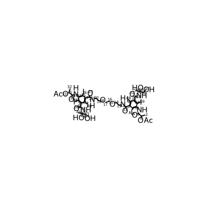 CC(=O)OC(C)C(=O)Nc1c(I)c(C(=O)NCCOCCOCCNC(=O)c2c(I)c(NC(=O)C(C)OC(C)=O)c(I)c(C(=O)NC(C)(O)CO)c2I)c(I)c(C(=O)NC(C)(O)CO)c1I